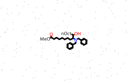 CCCCCCCCC(O)C(CCCCCCCC(=O)OC)N(Cc1ccccc1)Cc1ccccc1